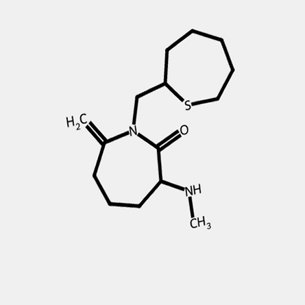 C=C1CCCC(NC)C(=O)N1CC1CCCCCS1